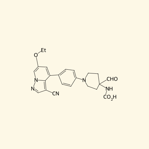 CCOc1cc(-c2ccc(N3CCC(C=O)(NC(=O)O)CC3)cc2)c2c(C#N)cnn2c1